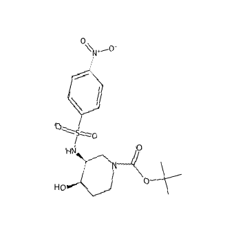 CC(C)(C)OC(=O)N1CC[C@@H](O)[C@@H](NS(=O)(=O)c2ccc([N+](=O)[O-])cc2)C1